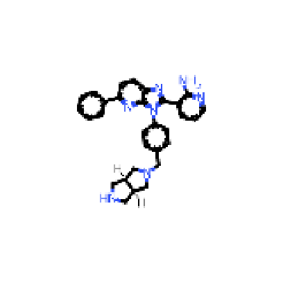 Nc1ncccc1-c1nc2ccc(-c3ccccc3)nc2n1-c1ccc(CN2C[C@H]3CNC[C@H]3C2)cc1